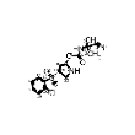 CC(C)(C#N)NC(=O)O[C@H]1C[C@@H](S(=O)(=O)c2ccccc2Cl)CN1